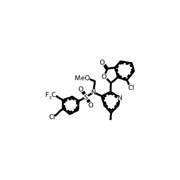 COCN(c1cc(C)cnc1C1OC(=O)c2cccc(Cl)c21)S(=O)(=O)c1ccc(Cl)c(C(F)(F)F)c1